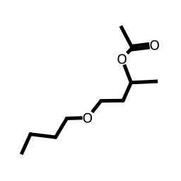 CCCCOCCC(C)OC(C)=O